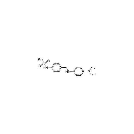 CC(C)(C)S(=O)(=O)Nc1ccc(CNc2ccc(N3CC=CC3)cc2)cc1